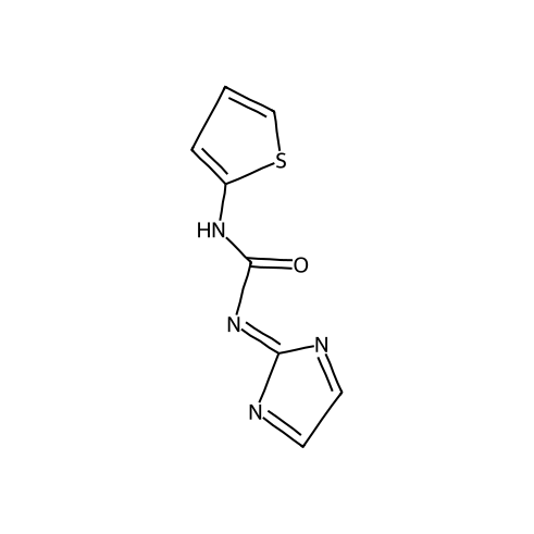 O=C(N=C1N=CC=N1)Nc1cccs1